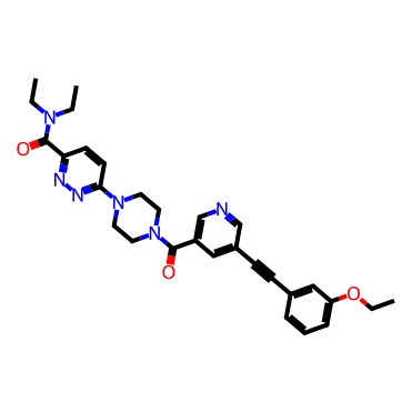 CCOc1cccc(C#Cc2cncc(C(=O)N3CCN(c4ccc(C(=O)N(CC)CC)nn4)CC3)c2)c1